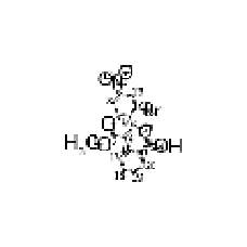 COC(=O)C(=Cc1ccc([N+](=O)[O-])cc1Br)c1ccccc1C(=O)O